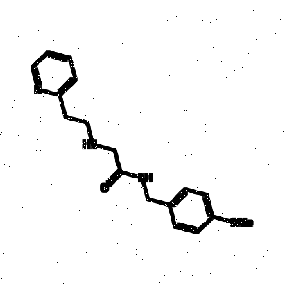 COc1ccc(CNC(=O)CNCCc2ccccn2)cc1